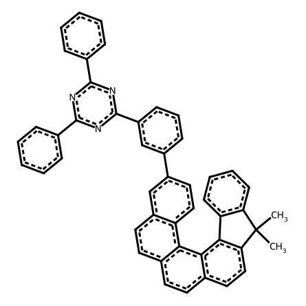 CC1(C)c2ccccc2-c2c1ccc1ccc3ccc4cc(-c5cccc(-c6nc(-c7ccccc7)nc(-c7ccccc7)n6)c5)ccc4c3c21